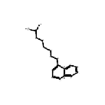 FC(F)CCCCCCc1cccc2ccccc12